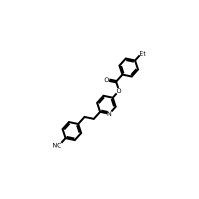 CCc1ccc(C(=O)Oc2ccc(CCc3ccc(C#N)cc3)nc2)cc1